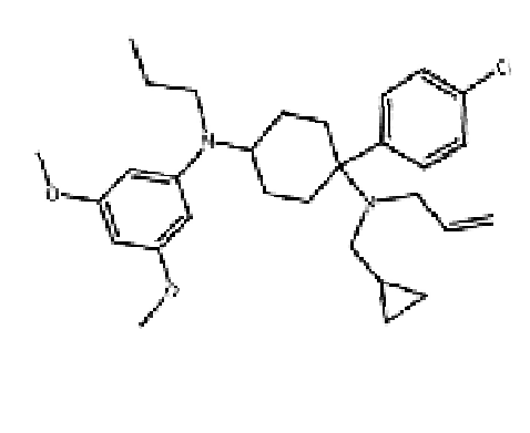 C=CCN(CC1CC1)C1(c2ccc(Cl)cc2)CCC(N(CCC)c2cc(OC)cc(OC)c2)CC1